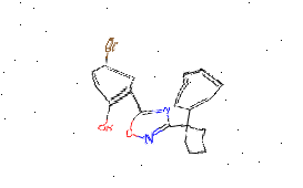 Oc1ccc(Br)cc1-c1nc(C2(c3ccccc3)CCC2)no1